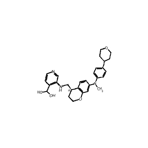 CN(c1ccc(C2CCOCC2)cc1)c1ccc2c(c1)OCC[C@H]2CNc1cnccc1C(O)O